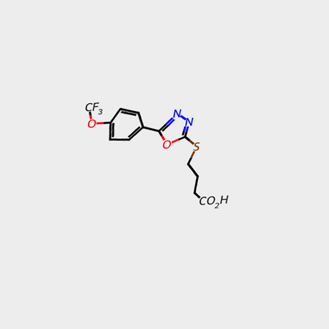 O=C(O)CCCSc1nnc(-c2ccc(OC(F)(F)F)cc2)o1